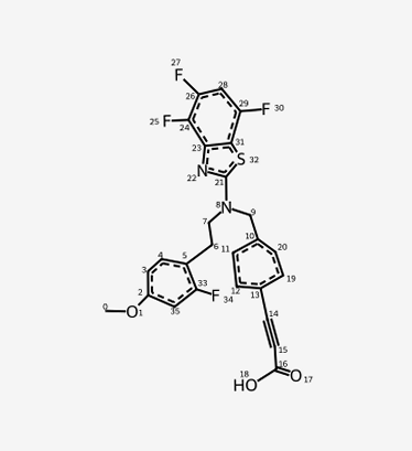 COc1ccc(CCN(Cc2ccc(C#CC(=O)O)cc2)c2nc3c(F)c(F)cc(F)c3s2)c(F)c1